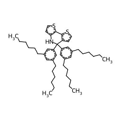 CCCCCCc1cc(CCCCCC)cc(C2(c3cc(CCCCCC)cc(CCCCCC)c3)Nc3ccsc3-c3sccc32)c1